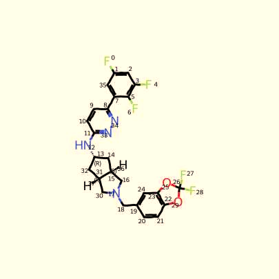 Fc1cc(F)c(F)c(-c2ccc(N[C@@H]3C[C@@H]4CN(Cc5ccc6c(c5)OC(F)(F)O6)C[C@@H]4C3)nn2)c1